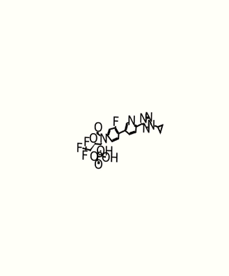 O=C1O[C@H](C(OP(=O)(O)O)C(F)(F)F)CN1c1ccc(-c2ccc(-c3nnn(C4CC4)n3)nc2)c(F)c1